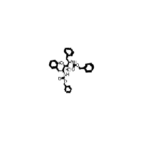 O=C(NC(Cc1ccccc1)[C@@H](O)[C@H](O)[C@H](Cc1ccccc1)NC(=O)OCc1ccccc1)OCc1ccccc1